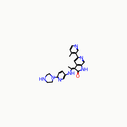 C/C(Nc1ccc(N2CCNCC2)nc1)=C1/C(=O)Nc2cnc(-c3cnccc3C)cc21